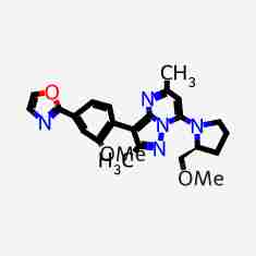 COC[C@@H]1CCCN1c1cc(C)nc2c(-c3ccc(-c4ncco4)cc3OC)c(C)nn12